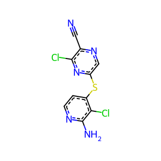 N#Cc1ncc(Sc2ccnc(N)c2Cl)nc1Cl